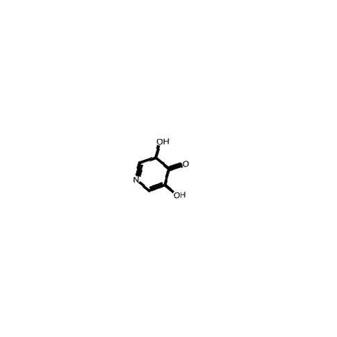 O=C1C(O)=CN=CC1O